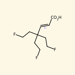 O=C(O)/C=C/C(CCF)(CCF)CCF